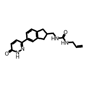 C=CCNC(=O)NCC1Cc2ccc(-c3ccc(=O)[nH]n3)cc2C1